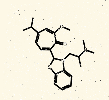 COc1cc(C(C)C)ccc(C2Sc3ccccc3N2CC(C)N(C)C)c1=O